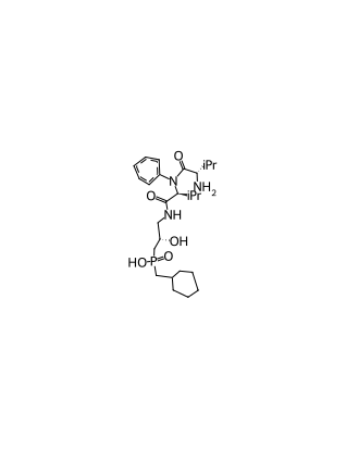 CC(C)[C@H](N)C(=O)N(c1ccccc1)[C@H](C(=O)NC[C@H](O)CP(=O)(O)CC1CCCCC1)C(C)C